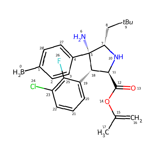 Bc1ccc([C@@]2(N)[C@H](CC(C)(C)C)N[C@@H](C(=O)OC(=C)C)[C@@H]2c2cccc(Cl)c2F)cc1